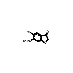 COc1cc2c(cc1Br)C(=O)CS2